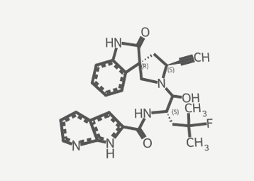 C#C[C@@H]1C[C@@]2(CN1C(O)[C@H](CC(C)(C)F)NC(=O)c1cc3cccnc3[nH]1)C(=O)Nc1ccccc12